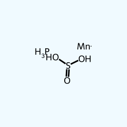 O=S(O)O.P.[Mn]